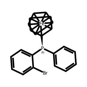 Brc1ccccc1[P@](c1ccccc1)[C]12[CH]3[CH]4[CH]5[CH]1[Fe]45321678[CH]2[CH]1[CH]6[CH]7[CH]28